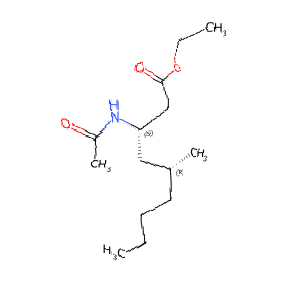 CCCC[C@@H](C)C[C@@H](CC(=O)OCC)NC(C)=O